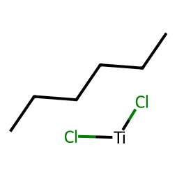 CCCCCC.[Cl][Ti][Cl]